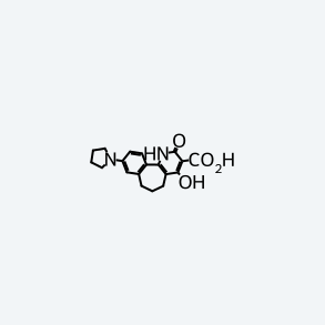 O=C(O)c1c(O)c2c([nH]c1=O)-c1ccc(N3CCCC3)cc1CCC2